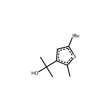 Cc1sc(C(C)(C)C)cc1C(C)(C)O